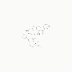 CNC(=O)[C@H]1CCCN1C(=O)CN1CC(C)(C)OCC1C(=O)Nc1cc(Cl)cc2c1[nH]c1cnccc12